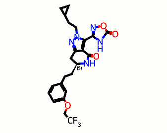 O=C1N[C@@H](CCc2cccc(OCC(F)(F)F)c2)Cc2nn(CCC3CC3)c(-c3noc(=O)[nH]3)c21